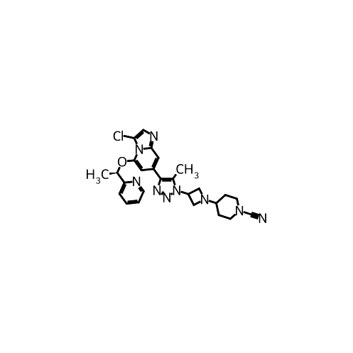 Cc1c(-c2cc(O[C@H](C)c3ccccn3)n3c(Cl)cnc3c2)nnn1C1CN(C2CCN(C#N)CC2)C1